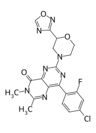 Cc1nc2c(-c3ccc(Cl)cc3F)nc(N3CCOC(c4ncon4)C3)nc2c(=O)n1C